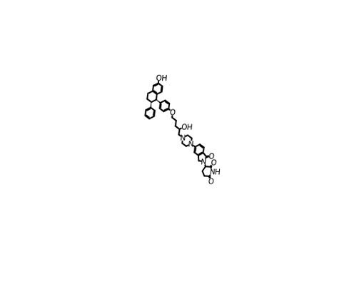 O=C1CCC(N2Cc3cc(N4CCN(CC(O)CCCOc5ccc([C@@H]6c7ccc(O)cc7CC[C@@H]6c6ccccc6)cc5)CC4)ccc3C2=O)C(=O)N1